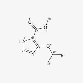 COC(=O)c1[nH]ccc1OC(C)C